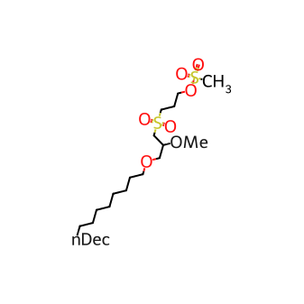 CCCCCCCCCCCCCCCCCCOCC(CS(=O)(=O)CCCOS(C)(=O)=O)OC